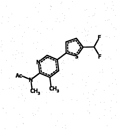 CC(=O)N(C)c1ncc(-c2ccc(C(F)F)s2)cc1C